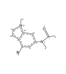 CC(=O)N(C)c1cc(Br)c2ccn(C)c2c1